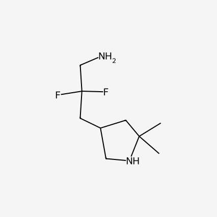 CC1(C)CC(CC(F)(F)CN)CN1